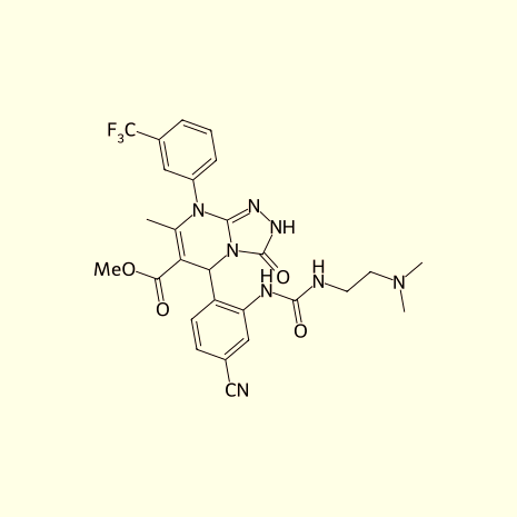 COC(=O)C1=C(C)N(c2cccc(C(F)(F)F)c2)c2n[nH]c(=O)n2C1c1ccc(C#N)cc1NC(=O)NCCN(C)C